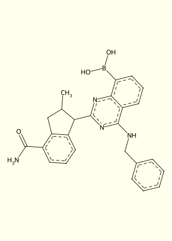 CC1Cc2c(C(N)=O)cccc2C1c1nc(NCc2ccccc2)c2cccc(B(O)O)c2n1